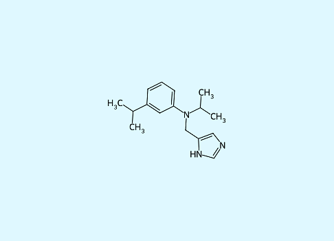 CC(C)c1cccc(N(Cc2cnc[nH]2)C(C)C)c1